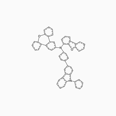 c1ccc(-n2c3ccccc3c3cc(-c4ccc(N(c5ccc6c(c5)-c5ccccc5Oc5ccccc5-6)c5cccc6c5oc5ccccc56)cc4)ccc32)cc1